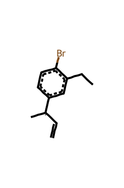 C=C[C](C)c1ccc(Br)c(CC)c1